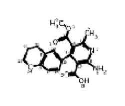 COC(=O)c1c(C)nc(N)c(C(=O)O)c1-c1ccc2c(c1)CCCO2